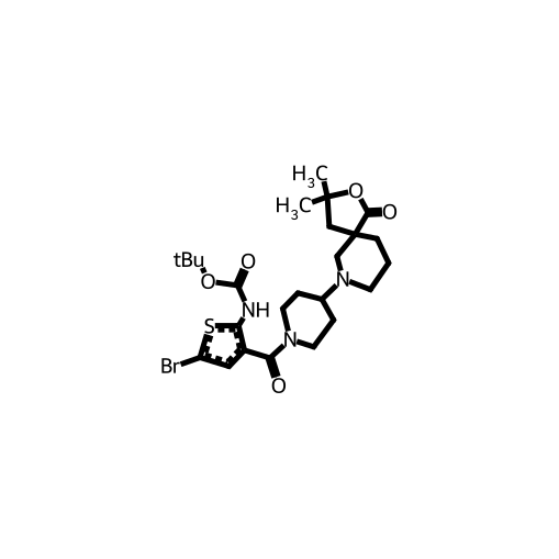 CC(C)(C)OC(=O)Nc1sc(Br)cc1C(=O)N1CCC(N2CCCC3(C2)CC(C)(C)OC3=O)CC1